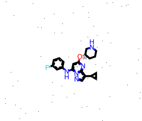 Fc1cccc(Nc2cc(O[C@H]3CCCNC3)nc3c(C4CC4)cnn23)c1